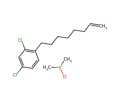 C=CCCCCCCc1ccc(Cl)cc1Cl.C[S+](C)[O-]